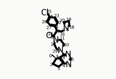 C[C@@H]1CCc2ncnc(N3CCN(C(=O)C(CN4CCC4)c4ccc(Cl)cc4)CC3)c21